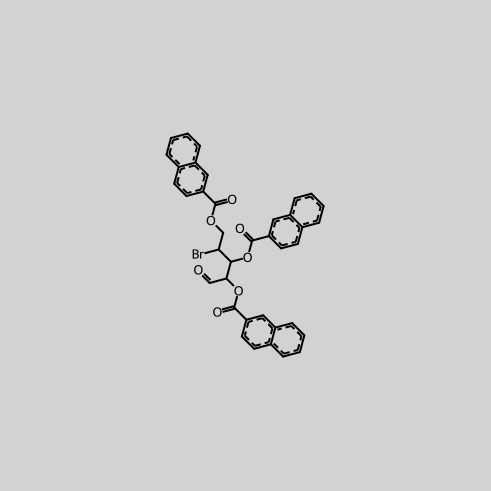 O=CC(OC(=O)c1ccc2ccccc2c1)C(OC(=O)c1ccc2ccccc2c1)C(Br)COC(=O)c1ccc2ccccc2c1